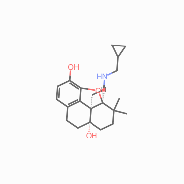 CC1(C)CC[C@@]2(O)CCc3ccc(O)c4c3[C@@]2(CCNCC2CC2)[C@H]1O4